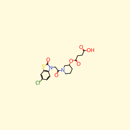 O=C(O)CCC(=O)OC1CCCN(C(=O)Cn2c(=O)sc3cc(Cl)ccc32)C1